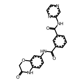 O=C1COc2cc(NC(=O)c3cccc(C(=O)Nc4cnccn4)c3)ccc2N1